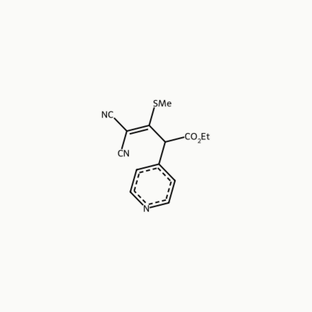 CCOC(=O)C(C(SC)=C(C#N)C#N)c1ccncc1